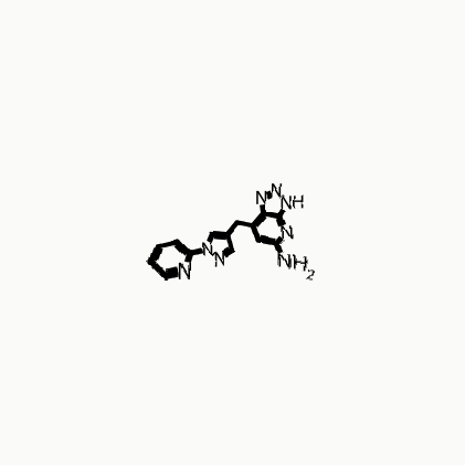 Nc1cc(Cc2cnn(-c3ccccn3)c2)c2nn[nH]c2n1